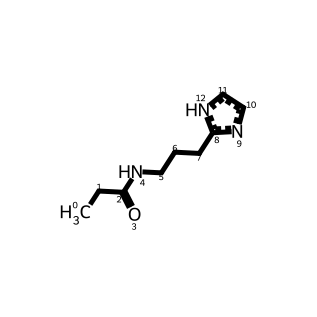 CCC(=O)NCCCc1ncc[nH]1